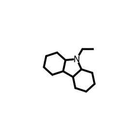 CCN1C2CCCCC2C2CCCCC21